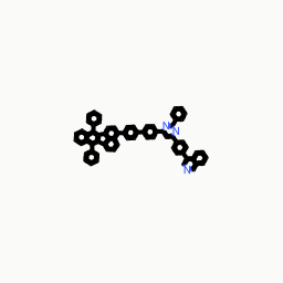 c1ccc(-c2nc(-c3ccc(-c4ccc(-c5ccc6c7c(cccc57)-c5c-6c(-c6ccccc6)c6ccccc6c5-c5ccccc5)cc4)cc3)cc(-c3ccc(-c4cncc5ccccc45)cc3)n2)cc1